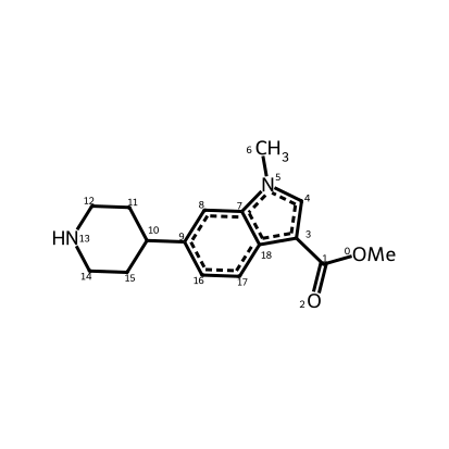 COC(=O)c1cn(C)c2cc(C3CCNCC3)ccc12